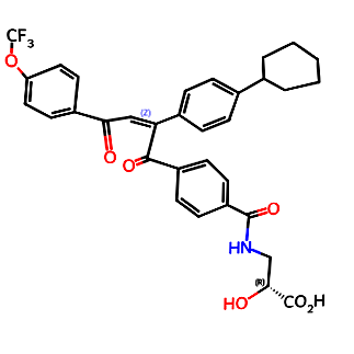 O=C(/C=C(\C(=O)c1ccc(C(=O)NC[C@@H](O)C(=O)O)cc1)c1ccc(C2CCCCC2)cc1)c1ccc(OC(F)(F)F)cc1